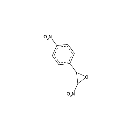 O=[N+]([O-])c1ccc(C2OC2[N+](=O)[O-])cc1